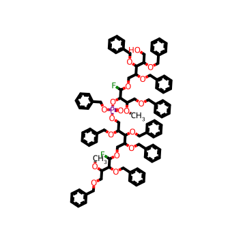 COC(COCc1ccccc1)C(OCc1ccccc1)C(F)OCC(OCc1ccccc1)C(OCc1ccccc1)C(COP(=O)(OCc1ccccc1)OC(C(F)OCC(OCc1ccccc1)C(OCc1ccccc1)C(CO)OCc1ccccc1)C(COCc1ccccc1)OC)OCc1ccccc1